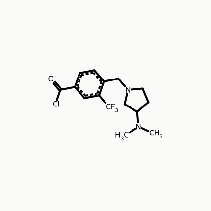 CN(C)C1CCN(Cc2ccc(C(=O)Cl)cc2C(F)(F)F)C1